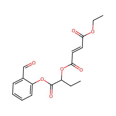 CCOC(=O)C=CC(=O)OC(CC)C(=O)Oc1ccccc1C=O